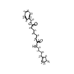 O=C(CCCCCC(=O)OCc1ccccc1)NCCCC[C@H]1CCCS1